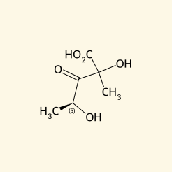 C[C@H](O)C(=O)C(C)(O)C(=O)O